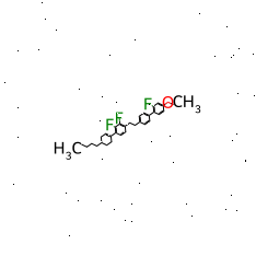 CCCCCC1CC=C(c2ccc(CCc3ccc(-c4ccc(OCC)cc4F)cc3)c(F)c2F)CC1